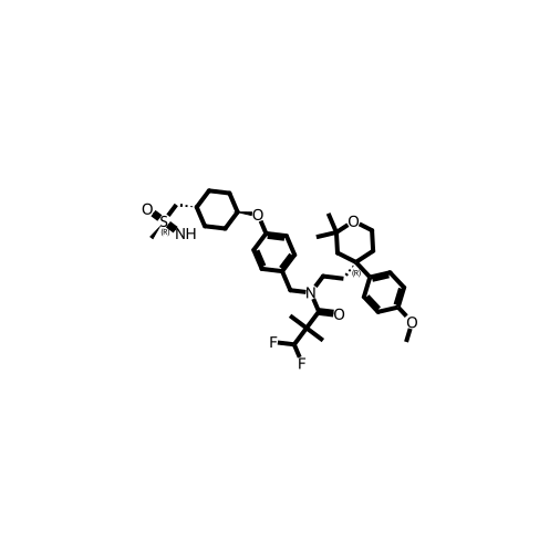 COc1ccc([C@]2(CCN(Cc3ccc(O[C@H]4CC[C@H](C[S@](C)(=N)=O)CC4)cc3)C(=O)C(C)(C)C(F)F)CCOC(C)(C)C2)cc1